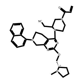 C=CC(=O)N1CCN(c2nc(OC[C@@H]3CCCN3C)nc3c2CCN(c2cccc4ccccc24)C3)C(CC#N)C1